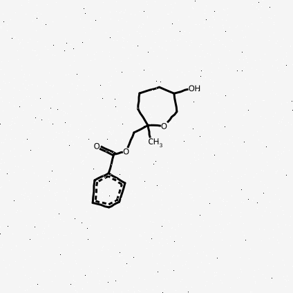 CC1(COC(=O)c2ccccc2)CCCC(O)CO1